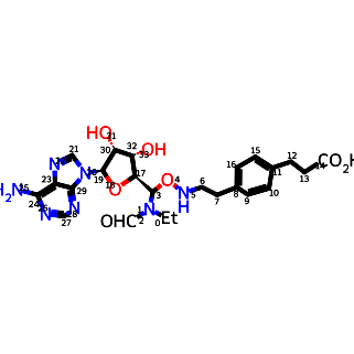 CCN(C=O)C(ONCCc1ccc(CCC(=O)O)cc1)[C@H]1O[C@@H](n2cnc3c(N)ncnc32)[C@H](O)[C@@H]1O